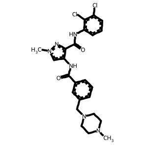 CN1CCN(Cc2cccc(C(=O)Nc3cn(C)nc3C(=O)Nc3cccc(Cl)c3Cl)c2)CC1